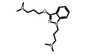 CN(C)CCCOc1nn(CCCN(C)C)c2ccccc12